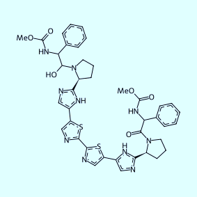 COC(=O)NC(C(=O)N1CCC[C@H]1c1ncc(-c2cnc(-c3ncc(-c4cnc([C@@H]5CCCN5C(O)C(NC(=O)OC)c5ccccc5)[nH]4)s3)s2)[nH]1)c1ccccc1